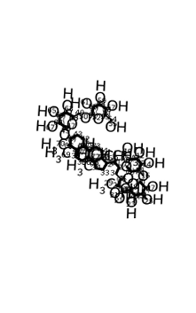 C[C@H](CC[C@@H](O[C@@H]1O[C@H](CO)[C@@H](O)[C@H](O)[C@H]1O[C@@H]1O[C@H](CO)[C@@H](O)[C@H](O)[C@H]1O)C(C)(C)O)C1CC[C@@]2(C)[C@@H]3CC=C4[C@@H](CC[C@H](O[C@@H]5O[C@H](CO[C@@H]6O[C@H](CO)[C@@H](O)[C@H](O)[C@H]6O)[C@@H](O)[C@H](O)[C@H]5O)C4(C)C)[C@]3(C)CC[C@]12C